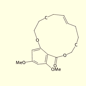 COc1cc(OC)c2c(c1)OCCCC/C=C/CCCCOC2=O